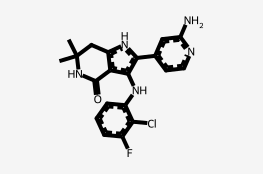 CC1(C)Cc2[nH]c(-c3ccnc(N)c3)c(Nc3cccc(F)c3Cl)c2C(=O)N1